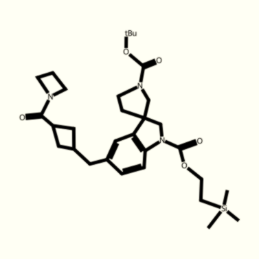 CC(C)(C)OC(=O)N1CCC2(C1)CN(C(=O)OCC[Si](C)(C)C)c1ccc(CC3CC(C(=O)N4CCC4)C3)cc12